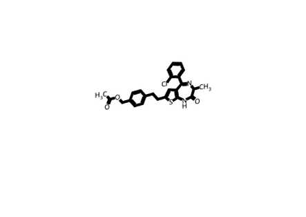 CC(=O)OCc1ccc(CCc2cc3c(s2)NC(=O)C(C)N=C3c2ccccc2Cl)cc1